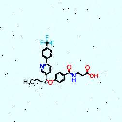 CCC[C@@H](Oc1ccc(C(=O)NCCC(=O)O)cc1)c1ccc(-c2ccc(C(F)(F)F)cc2)nc1